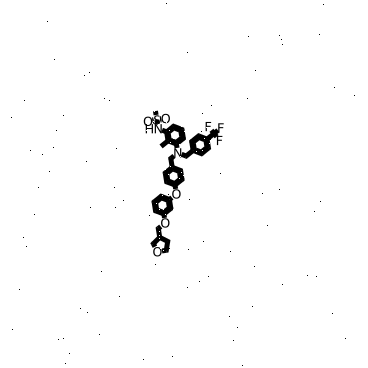 Cc1c(NS(C)(=O)=O)cccc1N(Cc1ccc(Oc2cccc(OCC3CCOC3)c2)cc1)Cc1ccc(C(F)(F)F)cc1